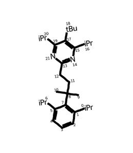 CC(C)c1cccc(C(C)C)c1C(C)(C)CCc1nc(C(C)C)c(C(C)(C)C)c(C(C)C)n1